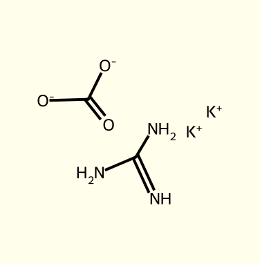 N=C(N)N.O=C([O-])[O-].[K+].[K+]